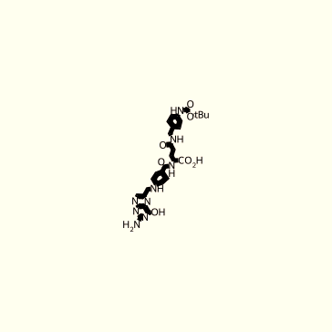 CC(C)(C)OC(=O)Nc1ccc(CNC(=O)CCC(NC(=O)c2ccc(NCc3cnc4nc(N)nc(O)c4n3)cc2)C(=O)O)cc1